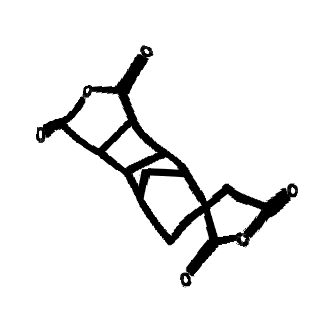 O=C1CC2(CC3CC2C2C4C(=O)OC(=O)C4C32)C(=O)O1